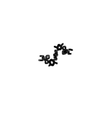 CCN(CC)C(=O)Oc1cc(SSSSc2cc(OC(=O)N(CC)CC)c(C)cc2C)c(C)cc1C